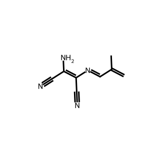 C=C(C)C=NC(C#N)=C(N)C#N